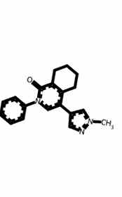 Cn1cc(-c2cn(-c3ccccc3)c(=O)c3c2CCCC3)cn1